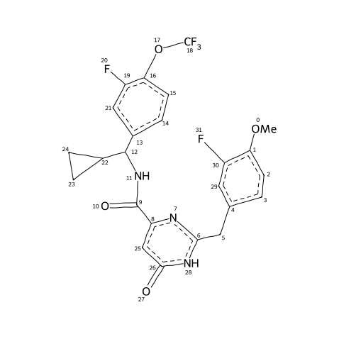 COc1ccc(Cc2nc(C(=O)NC(c3ccc(OC(F)(F)F)c(F)c3)C3CC3)cc(=O)[nH]2)cc1F